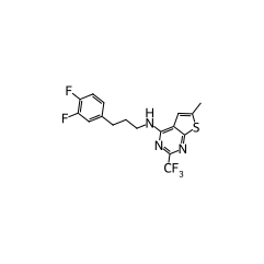 Cc1cc2c(NCCCc3ccc(F)c(F)c3)nc(C(F)(F)F)nc2s1